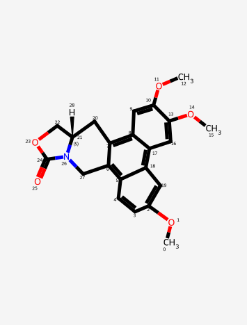 COc1ccc2c3c(c4cc(OC)c(OC)cc4c2c1)C[C@H]1COC(=O)N1C3